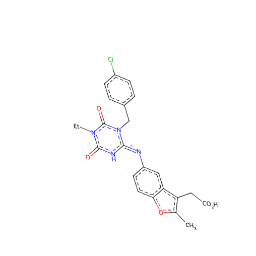 CCn1c(=O)[nH]/c(=N\c2ccc3oc(C)c(CC(=O)O)c3c2)n(Cc2ccc(Cl)cc2)c1=O